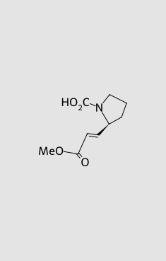 COC(=O)/C=C/[C@@H]1CCCN1C(=O)O